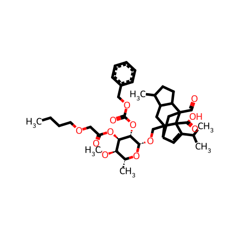 CCCCOCC(=O)O[C@H]1[C@H](OC(=O)OCc2ccccc2)[C@H](OCC23CC4C(C)CCC4C4(C=O)CC2C=C(C(C)C)C43C(=O)O)O[C@H](C)[C@H]1OC